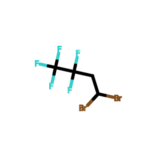 FC(F)(F)C(F)(F)CC(Br)Br